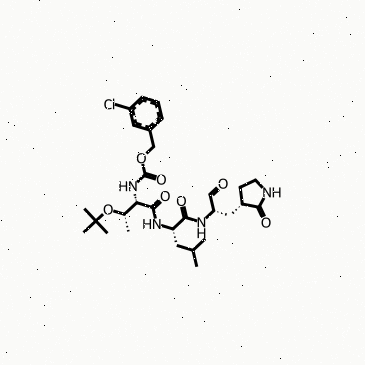 CC(C)C[C@H](NC(=O)[C@@H](NC(=O)OCc1cccc(Cl)c1)[C@H](C)OC(C)(C)C)C(=O)N[C@H](C=O)C[C@@H]1CCNC1=O